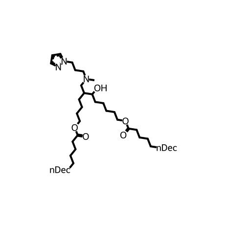 CCCCCCCCCCCCCCC(=O)OCCCCCC(O)C(CCCCOC(=O)CCCCCCCCCCCCCC)CN(C)CCCn1cccn1